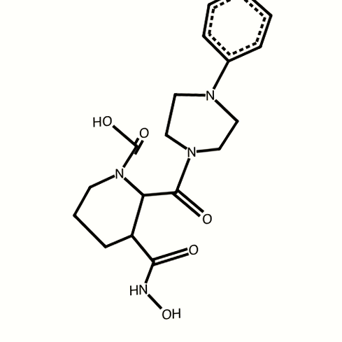 O=C(NO)C1CCCN(C(=O)O)C1C(=O)N1CCN(c2ccccc2)CC1